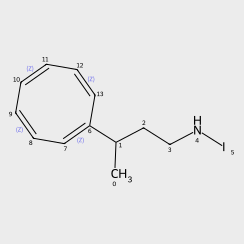 CC(CCNI)C1=C/C=C\C=C/C=C\1